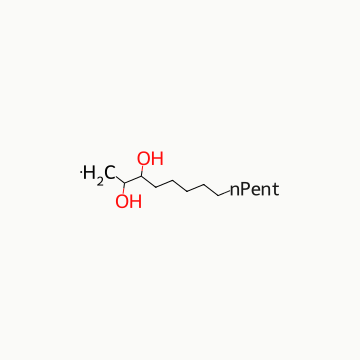 [CH2]C(O)C(O)CCCCCCCCCC